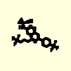 N#CC1(NC(=O)Cn2c(CCCC(F)(F)F)nc(C3=CCC(C(F)(F)F)CC3)cc2=O)CC1